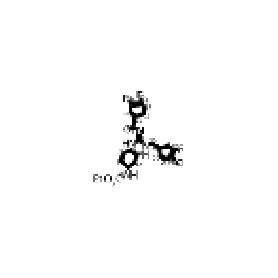 CCOC(=O)N[C@H]1CC[C@H](N/C(=N\C(=O)c2ccc(F)c(F)c2)NCc2ccc(Cl)c(F)c2)CC1